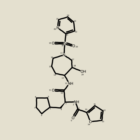 O=C(N[C@@H](CC1CCCC1)C(=O)NC1CCCN(S(=O)(=O)c2ccccn2)CC1O)c1ccco1